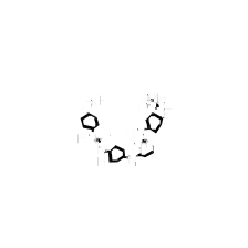 CN(c1ccc(NC(=O)Nc2ccc(OC(F)(F)F)cc2)cc1)c1ccnc(Nc2ccc(F)c(S(N)(=O)=O)c2)n1